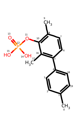 Cc1ccc(-c2ccc(C)c(OP(=O)(O)O)c2C)cc1